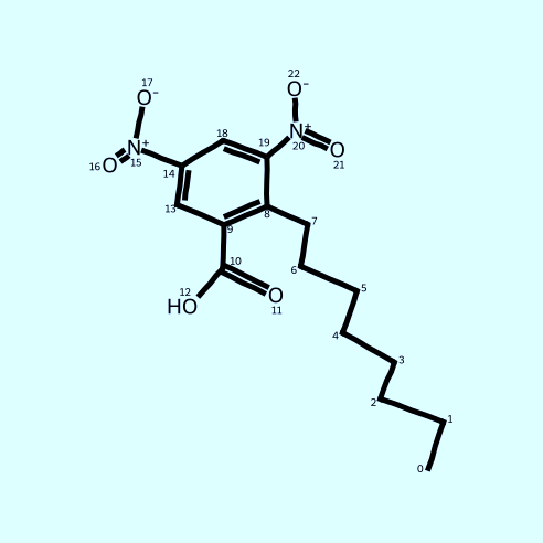 CCCCCCCCc1c(C(=O)O)cc([N+](=O)[O-])cc1[N+](=O)[O-]